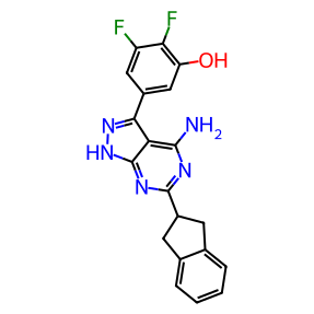 Nc1nc(C2Cc3ccccc3C2)nc2[nH]nc(-c3cc(O)c(F)c(F)c3)c12